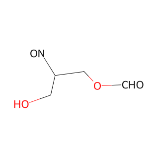 O=COCC(CO)N=O